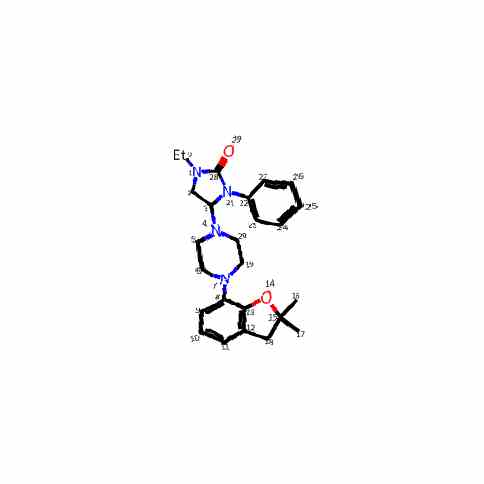 CCN1CC(N2CCN(c3cccc4c3OC(C)(C)C4)CC2)N(c2ccccc2)C1=O